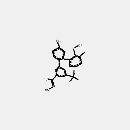 COc1c(F)cccc1-c1cc(O)ccc1-c1cc(C(N)=NO)cc(C(F)(F)F)c1